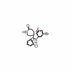 CO[C@H]1CC(=O)NC[C@@H](c2cccc(Cl)c2)[C@]12C(=O)Nc1cc(Br)ccc12